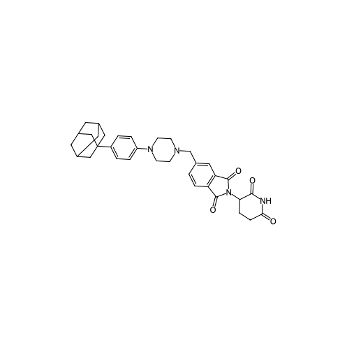 O=C1CCC(N2C(=O)c3ccc(CN4CCN(c5ccc(C67CC8CC(CC(C8)C6)C7)cc5)CC4)cc3C2=O)C(=O)N1